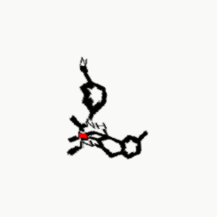 C=C(Nc1ccc(C#N)cc1)N(C)C1C2Cc3ccc(C)cc3[C@@]1(C)CCN2C